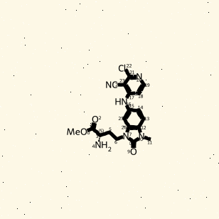 COC(=O)[C@@H](N)CCn1c(=O)n(C)c2ccc(Nc3ccnc(Cl)c3C#N)cc21